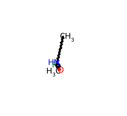 CCCCCCCCCCCCCCCCNc1ccc(C(C)=O)cc1F